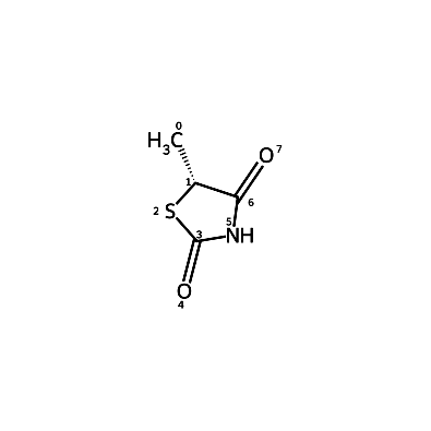 C[C@H]1SC(=O)NC1=O